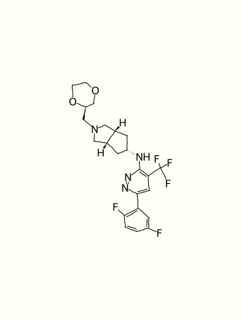 Fc1ccc(F)c(-c2cc(C(F)(F)F)c(N[C@@H]3C[C@@H]4CN(C[C@@H]5COCCO5)C[C@@H]4C3)nn2)c1